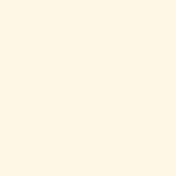 OC(CSc1ccccc1)C1=CCCC1